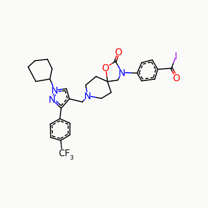 O=C(I)c1ccc(N2CC3(CCN(Cc4cn(C5CCCCC5)nc4-c4ccc(C(F)(F)F)cc4)CC3)OC2=O)cc1